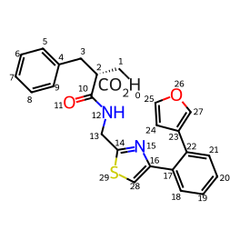 O=C(O)C[C@@H](Cc1ccccc1)C(=O)NCc1nc(-c2ccccc2-c2ccoc2)cs1